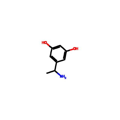 CC(N)c1cc(O)cc(O)c1